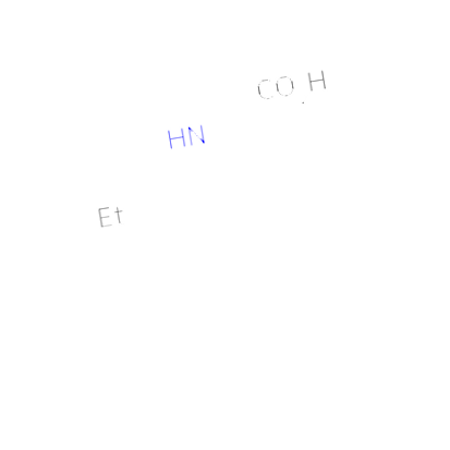 CC#CC(CC)NC(=O)O